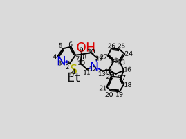 CCSc1ncccc1C1(O)CCN(CC23CC(c4ccccc42)c2ccccc23)CC1